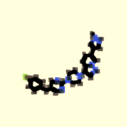 Cn1cc(-c2ccc3c(N4CCN(c5ncc(Cc6ccc(F)cc6)cn5)CC4)cnn3c2)cn1